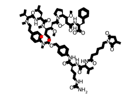 CC[C@H](C)[C@@H]([C@@H](CC(=O)N1CCC[C@H]1[C@H](OC)[C@@H](C)C(=O)N[C@@H](Cc1ccccc1)C(=O)O)OC)N(C)C(=O)[C@H](CC(C)C)NC(=O)[C@H](C(C)C)N(C)CCc1ccc(N(C)C(=O)OCc2ccc(NC(=O)[C@H](CCCNC(N)=O)NC(=O)[C@@H](NC(=O)CCCCCN3C(=O)CC(C)C3=O)C(C)C)cc2)cc1